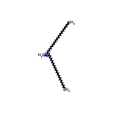 C[CH]c1nc(CCCCCCCCCCCCCCCCCCCCCCCCCCCC)nc(CCCCCCCCCCCCCCCCCCCCCCCCCCCC)n1